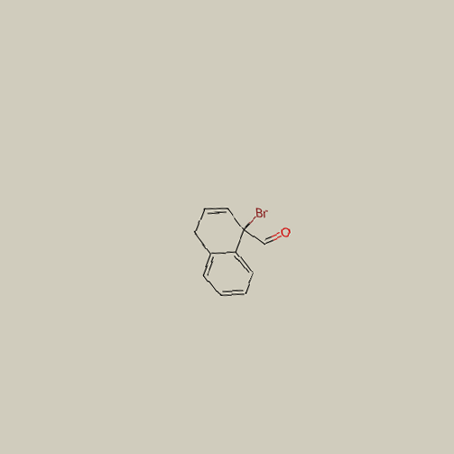 O=CC1(Br)C=CCc2ccccc21